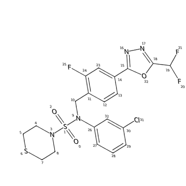 O=S(=O)(N1CCSCC1)N(Cc1ccc(-c2nnc(C(F)F)o2)cc1F)c1cccc(Cl)c1